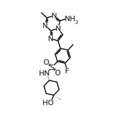 Cc1nc(N)n2cc(-c3cc(S(=O)(=O)N[C@H]4CC[C@](C)(O)CC4)c(F)cc3C)nc2n1